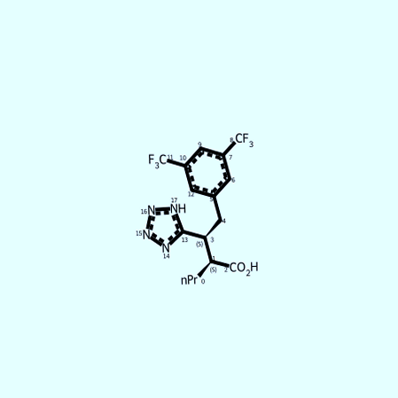 CCC[C@H](C(=O)O)[C@H](Cc1cc(C(F)(F)F)cc(C(F)(F)F)c1)c1nnn[nH]1